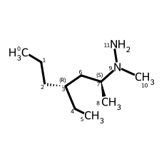 CCC[C@@H](CC)C[C@H](C)N(C)N